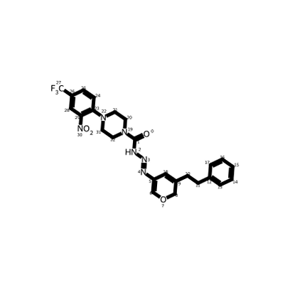 O=C(NN=NC1=COCC(CCc2ccccc2)=C1)N1CCN(c2ccc(C(F)(F)F)cc2[N+](=O)[O-])CC1